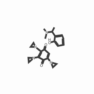 CC(c1ccccc1O)N(C)C.O=C1C=C(N2CC2)C(=O)C(N2CC2)=C1N1CC1